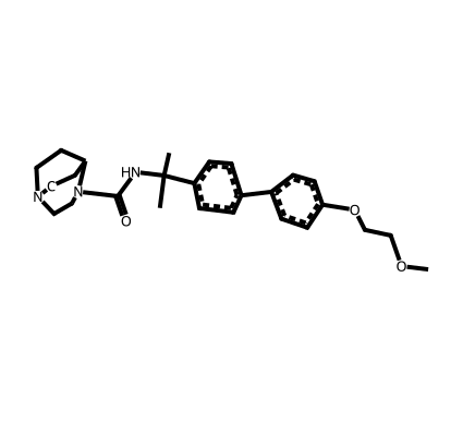 COCCOc1ccc(-c2ccc(C(C)(C)NC(=O)N3CCN4CCC3CC4)cc2)cc1